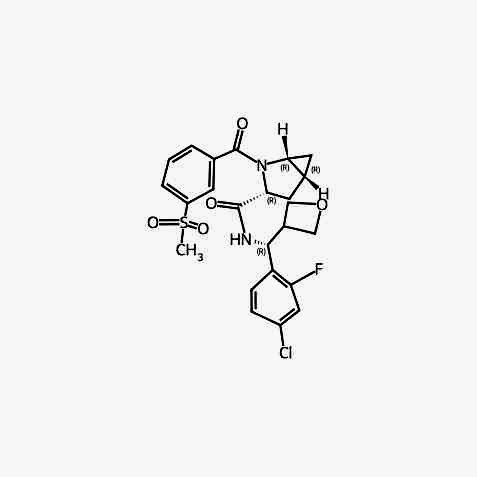 CS(=O)(=O)c1cccc(C(=O)N2[C@@H](C(=O)N[C@@H](c3ccc(Cl)cc3F)C3COC3)C[C@H]3C[C@H]32)c1